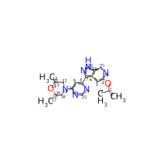 CC(C)Oc1cc2c(-c3cc(N4C[C@@H](C)O[C@@H](C)C4)ncn3)n[nH]c2cn1